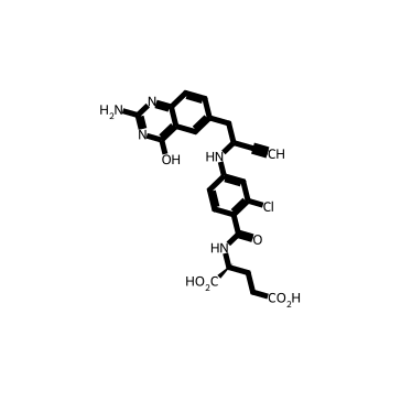 C#CC(Cc1ccc2nc(N)nc(O)c2c1)Nc1ccc(C(=O)N[C@@H](CCC(=O)O)C(=O)O)c(Cl)c1